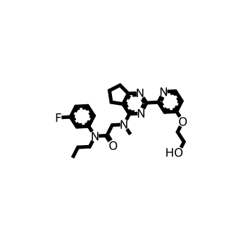 CCCN(C(=O)CN(C)c1nc(-c2cc(OCCO)ccn2)nc2c1CCC2)c1cccc(F)c1